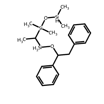 CC([SiH2]OC(Cc1ccccc1)c1ccccc1)[Si](C)(C)O[SiH](C)C